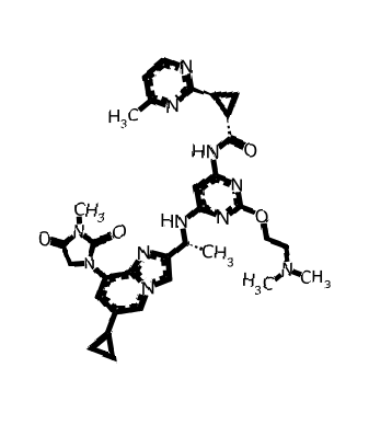 Cc1ccnc([C@H]2C[C@@H]2C(=O)Nc2cc(N[C@H](C)c3cn4cc(C5CC5)cc(N5CC(=O)N(C)C5=O)c4n3)nc(OCCN(C)C)n2)n1